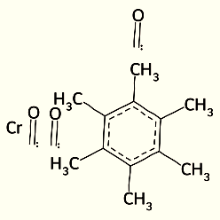 Cc1c(C)c(C)c(C)c(C)c1C.[C]=O.[C]=O.[C]=O.[Cr]